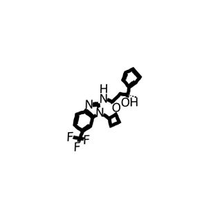 C[C@](O)(CC(=O)Nc1nc2ccc(C(F)(F)F)cc2n1C1CCC1)c1ccccc1